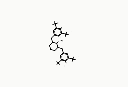 CNC1C(Cc2cc(C(C)(C)C)c(O)c(C(C)(C)C)c2)CCCC1Cc1cc(C(C)(C)C)c(O)c(C(C)(C)C)c1